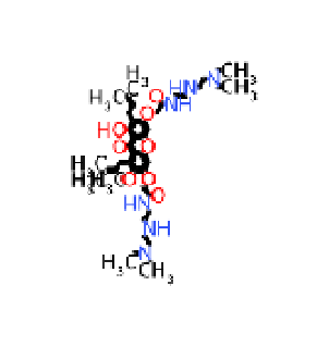 CCN(CC)CCNCCNC(=O)COc1cc2oc3cc(OCC(=O)NCCNCCN(CC)CC)c(OC)c(CC=C(C)C)c3c(=O)c2c(O)c1CC=C(C)C